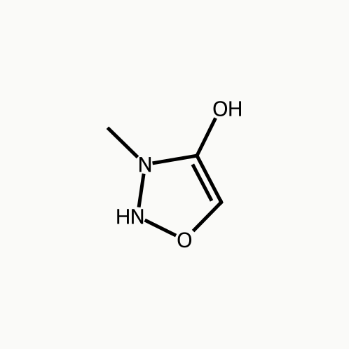 CN1NOC=C1O